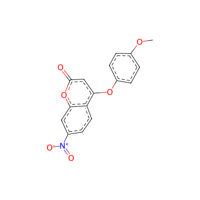 COc1ccc(Oc2cc(=O)oc3cc([N+](=O)[O-])ccc23)cc1